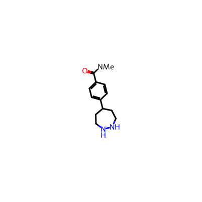 CNC(=O)c1ccc(C2CCNNCC2)cc1